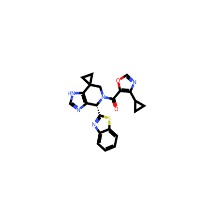 O=C(c1ocnc1C1CC1)N1CC2(CC2)c2[nH]cnc2[C@H]1c1nc2ccccc2s1